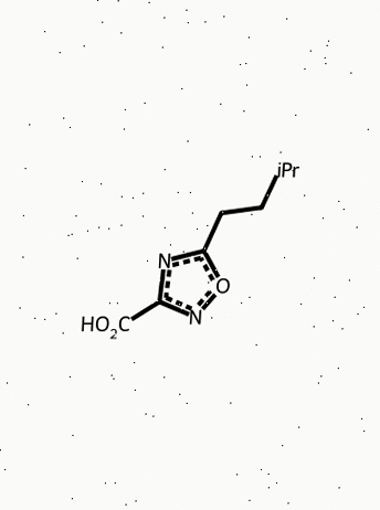 CC(C)CCc1nc(C(=O)O)no1